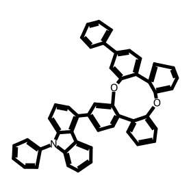 c1ccc(-c2ccc3c(c2)Oc2cc(-c4cccc5c4c4ccccc4n5-c4ccccc4)ccc2-c2ccccc2Oc2ccccc2-3)cc1